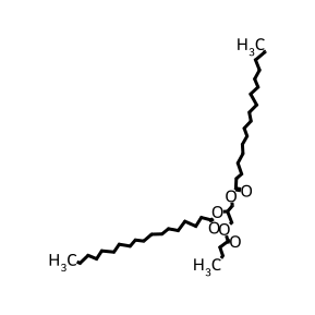 CCCCCCCCCCCCCCCCCC(=O)OCC(COC(=O)CCC)OC(=O)CCCCCCCCCCCCCCCCC